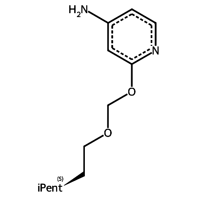 CCC[C@H](C)CCOCOc1cc(N)ccn1